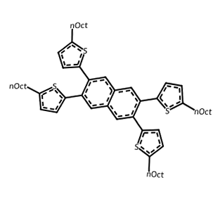 CCCCCCCCc1ccc(-c2cc3cc(-c4ccc(CCCCCCCC)s4)c(-c4ccc(CCCCCCCC)s4)cc3cc2-c2ccc(CCCCCCCC)s2)s1